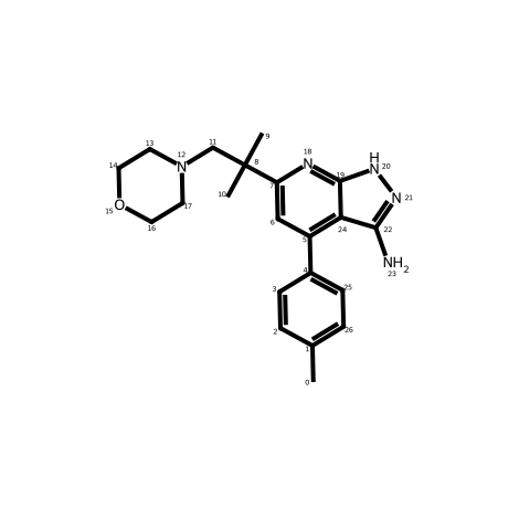 Cc1ccc(-c2cc(C(C)(C)CN3CCOCC3)nc3[nH]nc(N)c23)cc1